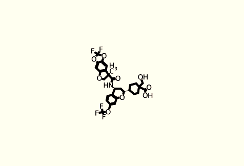 C[C@]1(C(=O)N[C@@H]2C[C@H](C3CCC(CO)(C(=O)O)CC3)Oc3cc(OC(F)(F)F)ccc32)COc2cc3c(cc21)OC(F)(F)O3